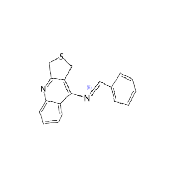 C(=N\c1c2c(nc3ccccc13)CSC2)/c1ccccc1